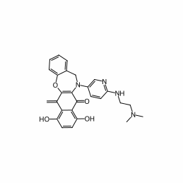 C=C1C2=C(C(=O)c3c(O)ccc(O)c31)N(c1ccc(NCCN(C)C)nc1)Cc1ccccc1O2